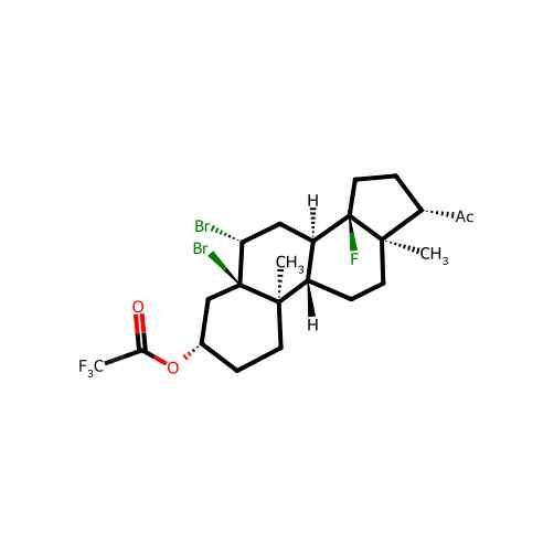 CC(=O)[C@H]1CC[C@@]2(F)[C@@H]3C[C@@H](Br)[C@@]4(Br)C[C@@H](OC(=O)C(F)(F)F)CC[C@]4(C)[C@H]3CC[C@]12C